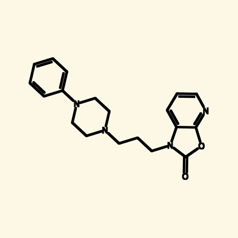 O=c1oc2ncccc2n1CCCN1CCN(c2ccccc2)CC1